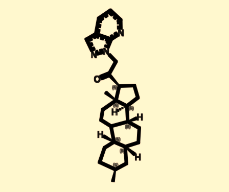 C[C@H]1CC[C@@H]2C3CC[C@]4(C)[C@@H](C(=O)Cn5ncc6cccnc65)CC[C@H]4[C@@H]3CC[C@@H]2C1